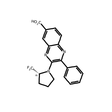 O=C(O)c1ccc2nc(-c3ccccc3)c(N3CCC[C@@H]3C(F)(F)F)nc2c1